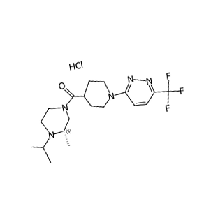 CC(C)N1CCN(C(=O)C2CCN(c3ccc(C(F)(F)F)nn3)CC2)C[C@@H]1C.Cl